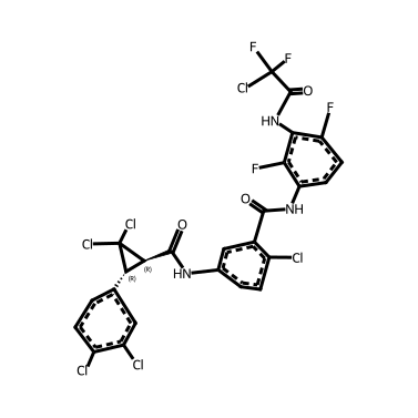 O=C(Nc1ccc(F)c(NC(=O)C(F)(F)Cl)c1F)c1cc(NC(=O)[C@H]2[C@H](c3ccc(Cl)c(Cl)c3)C2(Cl)Cl)ccc1Cl